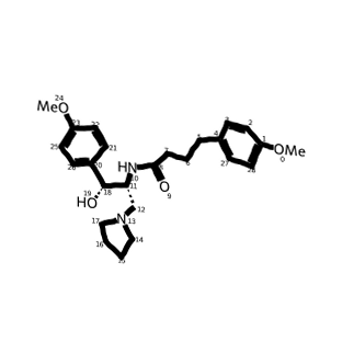 COc1ccc(CCCC(=O)N[C@H](CN2CCCC2)[C@H](O)c2ccc(OC)cc2)cc1